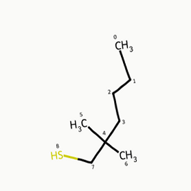 CCCCC(C)(C)CS